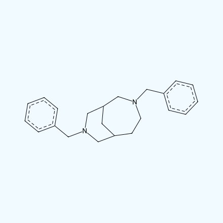 c1ccc(CN2CCC3CC(C2)CN(Cc2ccccc2)C3)cc1